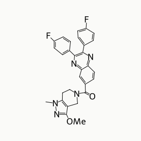 COc1nn(C)c2c1CN(C(=O)c1ccc3nc(-c4ccc(F)cc4)c(-c4ccc(F)cc4)nc3c1)CC2